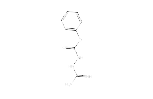 N=C(N)NNC(=O)Oc1ccccc1